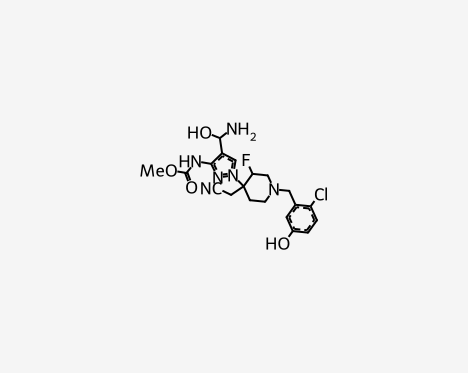 COC(=O)Nc1nn(C2(CC#N)CCN(Cc3cc(O)ccc3Cl)CC2F)cc1C(N)O